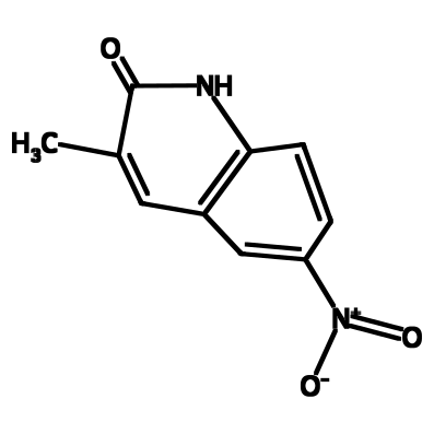 Cc1cc2cc([N+](=O)[O-])ccc2[nH]c1=O